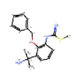 CCSC(=N)Nc1cccc(C(C)(C)N)c1OCc1ccccc1